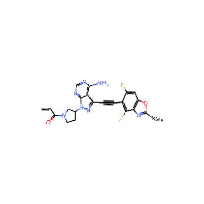 C=CC(=O)N1CCC(n2nc(C#Cc3c(F)cc4oc(NC)nc4c3F)c3c(N)ncnc32)C1